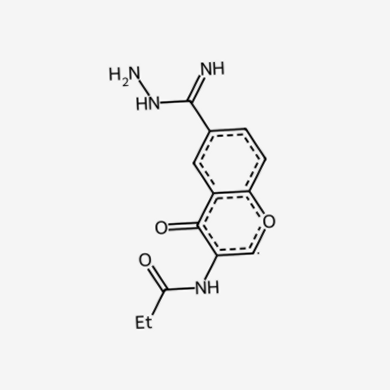 CCC(=O)Nc1[c]oc2ccc(C(=N)NN)cc2c1=O